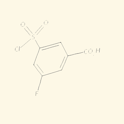 O=C(O)c1cc(F)cc(S(=O)(=O)Cl)c1